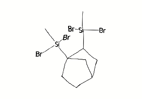 C[Si](Br)(Br)C1CC2CCC1([Si](C)(Br)Br)C2